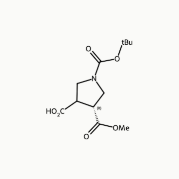 COC(=O)[C@H]1CN(C(=O)OC(C)(C)C)CC1C(=O)O